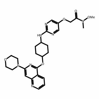 CON(C)C(=O)COc1cnc(NC2CCC(Oc3nc(N4CCOCC4)cc4ncccc34)CC2)nc1